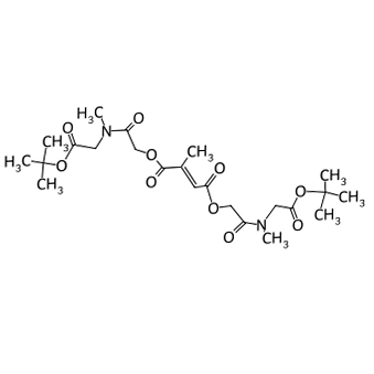 C/C(=C\C(=O)OCC(=O)N(C)CC(=O)OC(C)(C)C)C(=O)OCC(=O)N(C)CC(=O)OC(C)(C)C